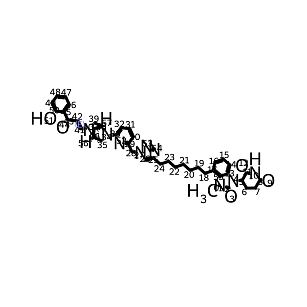 Cn1c(=O)n(C2CCC(=O)NC2=O)c2cccc(CCCCCCCc3cn(Cc4cccc(N5C[C@H]6C[C@@H]5CN6/C=C/C(=O)c5ccccc5O)n4)nn3)c21